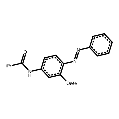 COc1cc(NC(=O)C(C)C)ccc1N=Nc1ccccc1